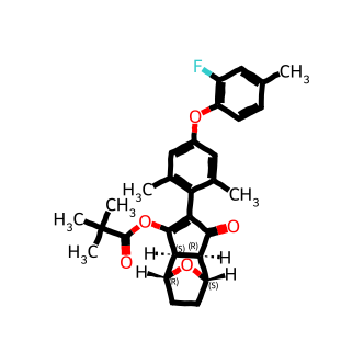 Cc1ccc(Oc2cc(C)c(C3=C(OC(=O)C(C)(C)C)[C@H]4[C@@H](C3=O)[C@@H]3CC[C@H]4O3)c(C)c2)c(F)c1